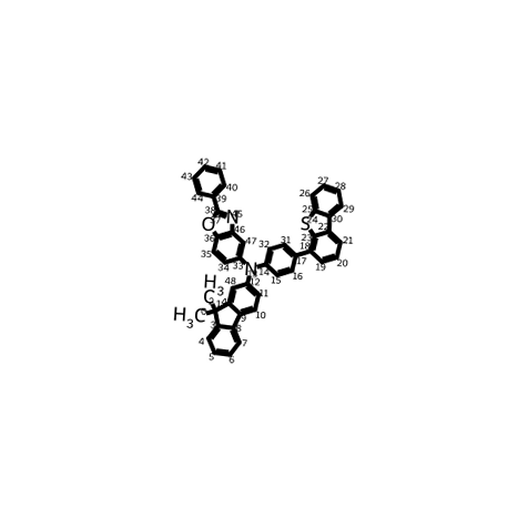 CC1(C)c2ccccc2-c2ccc(N(c3ccc(-c4cccc5c4sc4ccccc45)cc3)c3ccc4oc(-c5ccccc5)nc4c3)cc21